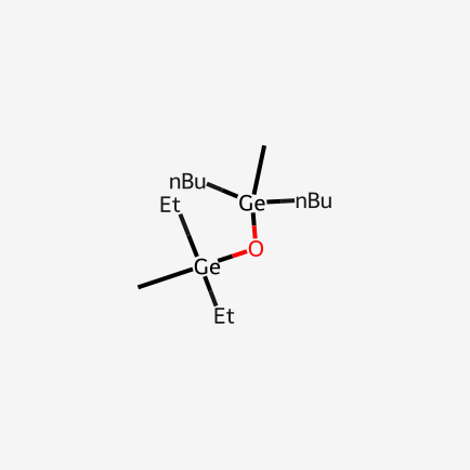 CCC[CH2][Ge]([CH3])([CH2]CCC)[O][Ge]([CH3])([CH2]C)[CH2]C